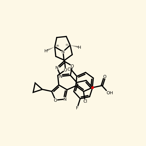 O=C(O)c1cc(F)cc(-c2nnc(N3[C@@H]4CC[C@H]3CC(OCc3c(-c5c(Cl)cccc5Cl)noc3C3CC3)C4)o2)c1